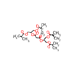 C=C(C)C(=O)OCC(COC(=O)C(=C)C)OC(=O)CC(=O)OC(COC(=O)C(=C)C)COC(=O)C(=C)C